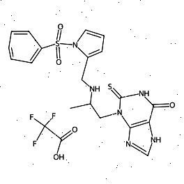 CC(Cn1c(=S)[nH]c(=O)c2[nH]cnc21)NCc1cccn1S(=O)(=O)c1ccccc1.O=C(O)C(F)(F)F